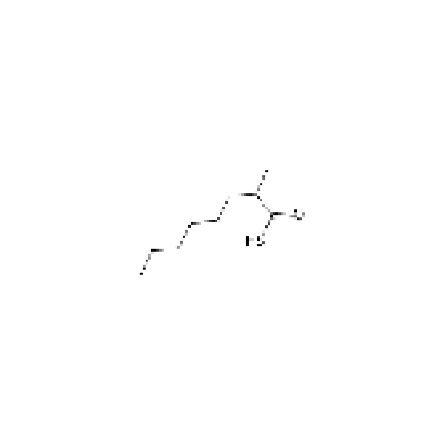 CCCCCCC(C)C(=O)S